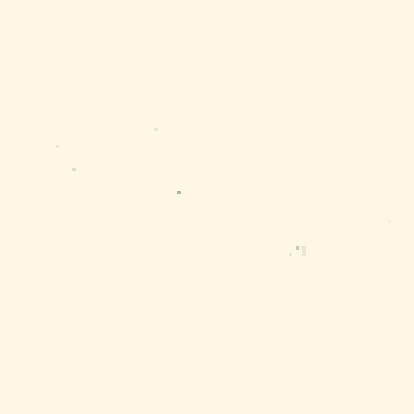 Cc1cccc(C=CC(=O)NCc2ccc(N(C)c3ccncc3)cc2)c1